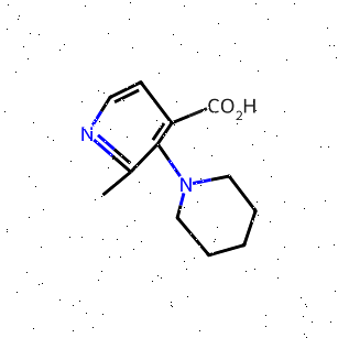 Cc1nccc(C(=O)O)c1N1CCCCC1